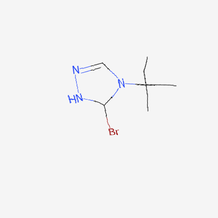 CC(C)(C)N1C=NNC1Br